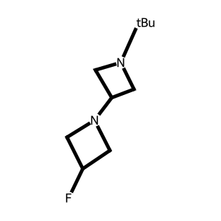 CC(C)(C)N1CC(N2CC(F)C2)C1